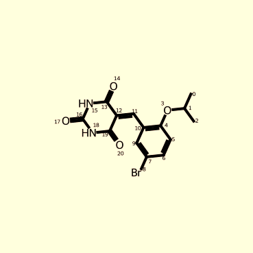 CC(C)Oc1ccc(Br)cc1C=C1C(=O)NC(=O)NC1=O